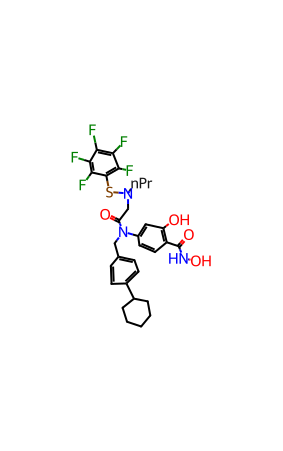 CCCN(CC(=O)N(Cc1ccc(C2CCCCC2)cc1)c1ccc(C(=O)NO)c(O)c1)Sc1c(F)c(F)c(F)c(F)c1F